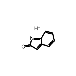 O=C1C=c2ccccc2=N1.[H+]